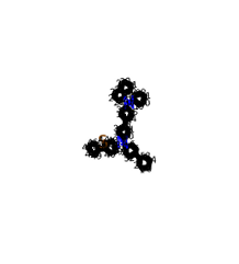 c1ccc(-c2ccc(N(c3ccc(-c4ccc(N(c5ccccc5)c5cccc6ccccc56)cc4)cc3)c3ccc4c(c3)sc3ccccc34)cc2)cc1